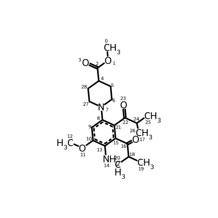 COC(=O)C1CCN(c2cc(OC)c(N)c(C(=O)C(C)C)c2C(=O)C(C)C)CC1